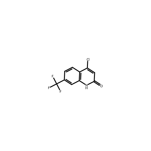 O=c1cc(Cl)c2ccc(C(F)(F)F)cc2[nH]1